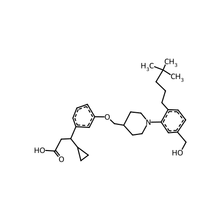 CC(C)(C)CCCc1ccc(CO)cc1N1CCC(COc2cccc(C(CC(=O)O)C3CC3)c2)CC1